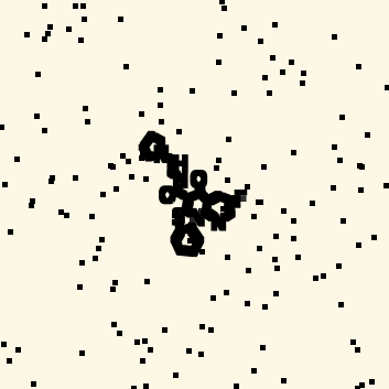 O=C(NCCN1CCCC1)c1c(=O)c2cc(F)cnc2n2c1sc1ccccc12